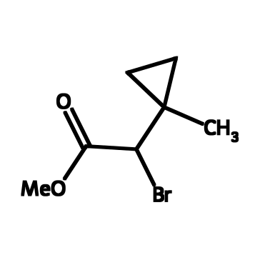 COC(=O)C(Br)C1(C)CC1